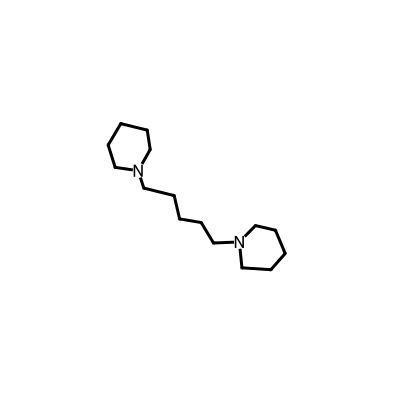 C1CCN(CCCCCN2CCCCC2)CC1